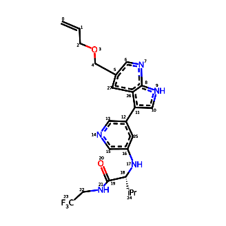 C=CCOCc1cnc2[nH]cc(-c3cncc(N[C@@H](C(=O)NCC(F)(F)F)C(C)C)c3)c2c1